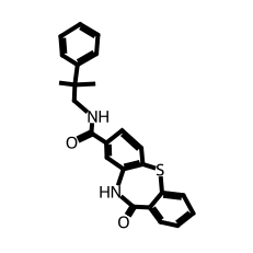 CC(C)(CNC(=O)c1ccc2c(c1)NC(=O)c1ccccc1S2)c1ccccc1